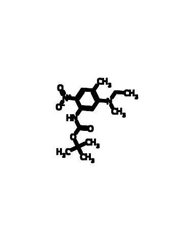 CCN(C)c1cc(NC(=O)OC(C)(C)C)c([N+](=O)[O-])cc1C